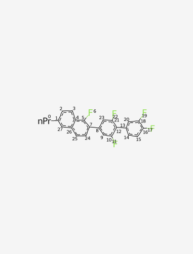 CCCc1ccc2c(F)c(-c3cc(F)c(-c4ccc(F)c(F)c4)c(F)c3)ccc2c1